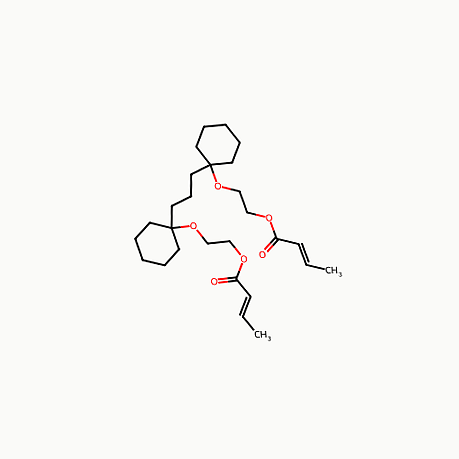 CC=CC(=O)OCCOC1(CCCC2(OCCOC(=O)C=CC)CCCCC2)CCCCC1